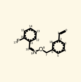 C=Cc1cccc(CO/N=[C]\c2ccccc2F)c1